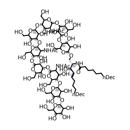 CCCCCCCCCCCCC/C=C/[C@@H](O)[C@H](CO[C@@H]1OC(CO)[C@@H](O[C@@H]2OC(CO)[C@H](O)[C@H](O[C@@H]3OC(CO)[C@@H](O[C@@H]4OC(CO)[C@H](O)[C@H](O[C@@H]5OC(CO)[C@@H](O[C@@H]6OC(CO)[C@H](O)[C@H](O[C@@H]7OC(CO)[C@@H](O[C@@H]8OC(CO)[C@H](O)[C@H](O[C@H]9OC(CO)[C@H](O)[C@H](O)C9O)C8O)[C@H](O)C7NC(C)=O)C6O)[C@H](O)C5NC(C)=O)C4O)[C@H](O)C3NC(C)=O)C2O)[C@H](O)C1O)NC(=O)CCCCCCCCCCCCCCC